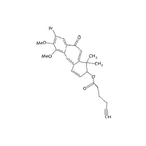 C#CCCCC(=O)OC1C=Cc2cc3c(OC)c(OC)c(C(C)C)cc3c(=O)cc2C1(C)C